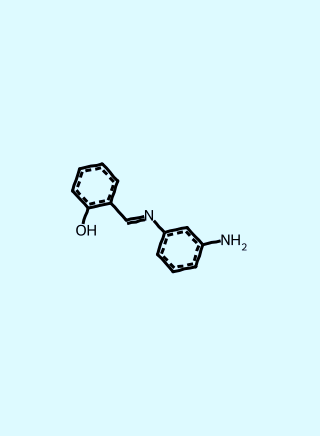 Nc1cccc(/N=C/c2ccccc2O)c1